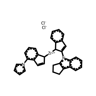 C1=C[CH]([Zr+2][CH]2C(n3c4c(c5ccccc53)CCC4)=Cc3ccccc32)c2cccc(-n3cccc3)c21.[Cl-].[Cl-]